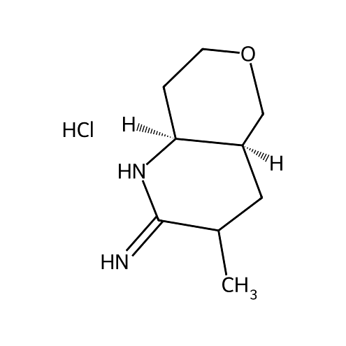 CC1C[C@@H]2COCC[C@@H]2NC1=N.Cl